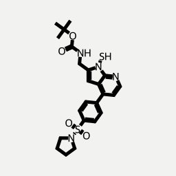 CC(C)(C)OC(=O)NCc1cc2c(-c3ccc(S(=O)(=O)N4CCCC4)cc3)ccnc2n1S